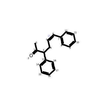 CC(=O)C(C/C=C\c1ccccc1)c1ccccc1